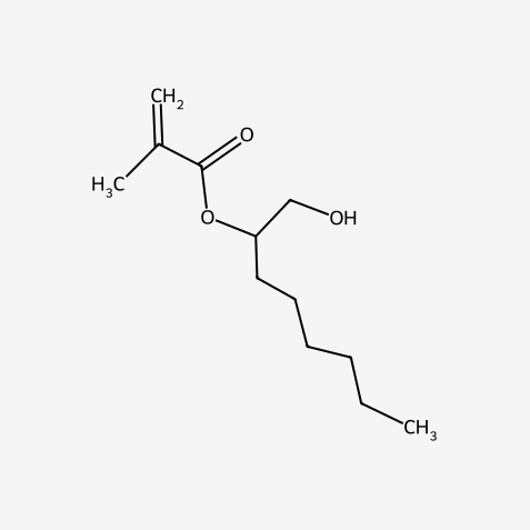 C=C(C)C(=O)OC(CO)CCCCCC